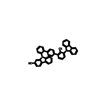 N#Cc1ccc2c3ccccc3n(-c3ccccc3-c3ccc(-c4cccc(-n5c6ccccc6c6ccccc65)c4C#N)cc3)c2c1